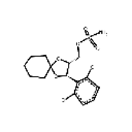 NS(=O)(=O)OC[C@H]1OC2(CCCCC2)O[C@@H]1c1c(Cl)cccc1Cl